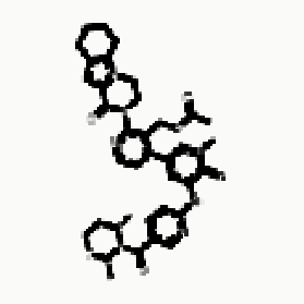 CC(=O)OCc1c(-c2cc(Nc3ccc(C(=O)N4[C@H](C)CCO[C@@H]4C)cn3)c(=O)n(C)c2)ccnc1N1CCn2c(cc3c2CCCC3)C1=O